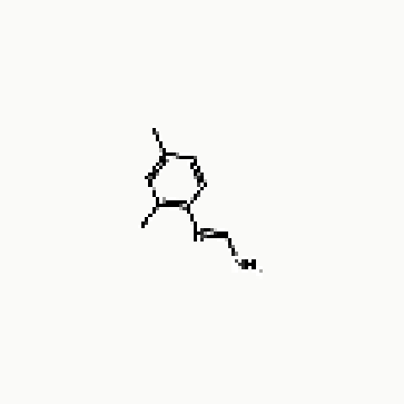 Cc1ccc(N=CN)c(C)c1